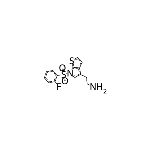 NCCc1cn(S(=O)(=O)c2ccccc2F)c2sccc12